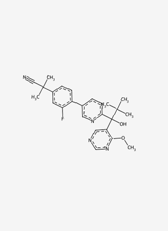 COc1ncncc1C(O)(c1ccc(-c2ccc(C(C)(C)C#N)cc2F)cn1)C(C)(C)C